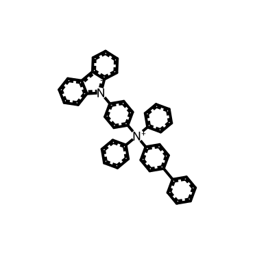 c1ccc(-c2ccc([N+](c3ccccc3)(c3ccccc3)c3ccc(-n4c5ccccc5c5ccccc54)cc3)cc2)cc1